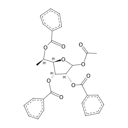 CC(=O)OC1O[C@H]([C@@H](C)OC(=O)c2ccccc2)[C@@H](OC(=O)c2ccccc2)[C@H]1OC(=O)c1ccccc1